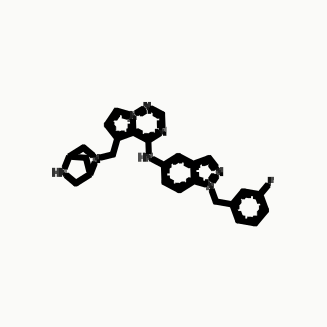 Fc1cccc(Cn2ncc3cc(Nc4ncnn5ccc(CN6CC7CC6CN7)c45)ccc32)c1